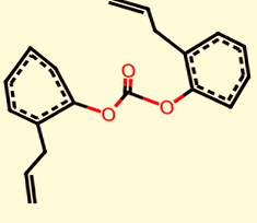 C=CCc1ccccc1OC(=O)Oc1ccccc1CC=C